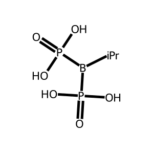 CC(C)B(P(=O)(O)O)P(=O)(O)O